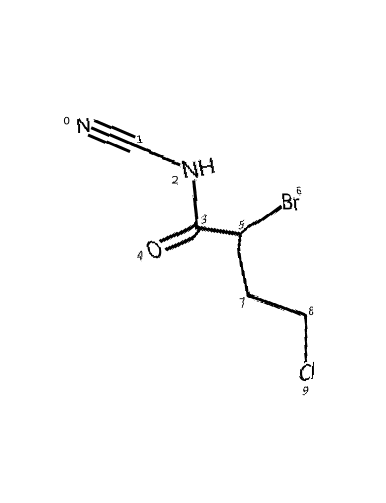 N#CNC(=O)C(Br)CCCl